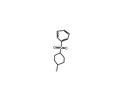 O=S(=O)(c1ccccc1)C1CCC(F)CC1